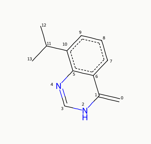 C=C1NC=Nc2c1cccc2C(C)C